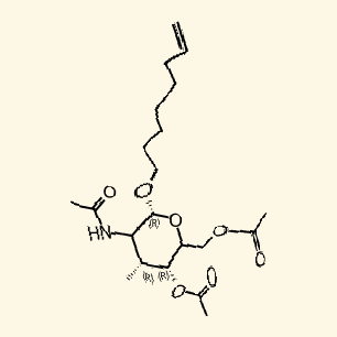 C=CCCCCCCO[C@@H]1OC(COC(C)=O)[C@H](OC(C)=O)[C@H](C)C1NC(C)=O